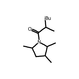 CCC(C)C(C)C(=O)N1C(C)CC(C)C1C